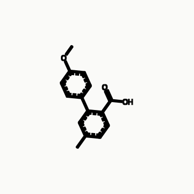 COc1ccc(-c2cc(C)ccc2C(=O)O)cc1